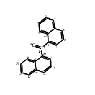 O=[PH](c1cccc2ccccc12)c1cccc2ccccc12